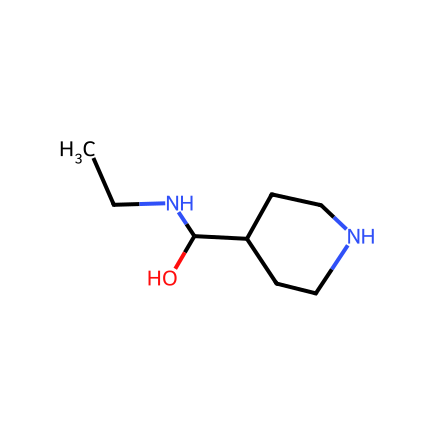 CCNC(O)C1CCNCC1